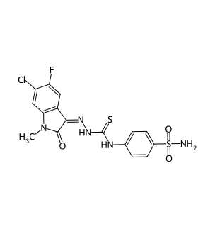 CN1C(=O)C(=NNC(=S)Nc2ccc(S(N)(=O)=O)cc2)c2cc(F)c(Cl)cc21